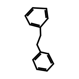 [c]1ccccc1CCc1[c]cccc1